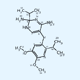 COc1cc(CC2=CNC(N)(C(C)C)N=C2N)c(C(C)C)cc1OC